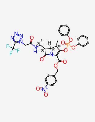 C[C@@H](NC(=O)Cn1nnnc1C(F)(F)F)[C@H]1C(=O)N2C(C(=O)OCc3ccc([N+](=O)[O-])cc3)=C(OP(=O)(Oc3ccccc3)Oc3ccccc3)[C@H](C)[C@H]12